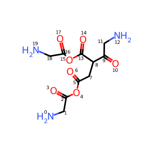 NCC(=O)OC(=O)CC(C(=O)CN)C(=O)OC(=O)CN